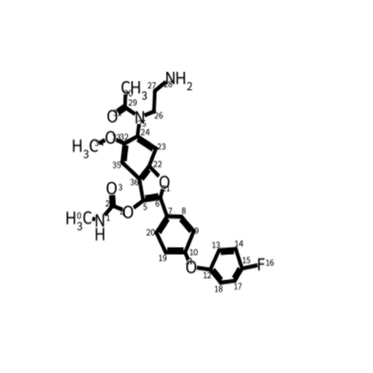 CNC(=O)Oc1c(-c2ccc(Oc3ccc(F)cc3)cc2)oc2cc(N(CCN)C(C)=O)c(OC)cc12